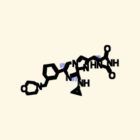 C/C=C(\N=C(\NC1CC1)C1N=CC(/C=C2\NC(=O)NC2=O)=N1)c1cccc(CN2CCOCC2)c1